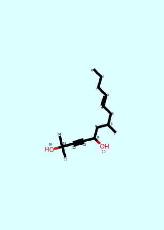 CCCC=CCC(C)CC(O)C#CC(C)(C)O